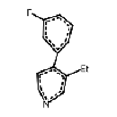 CCc1cnccc1-c1cccc(F)c1